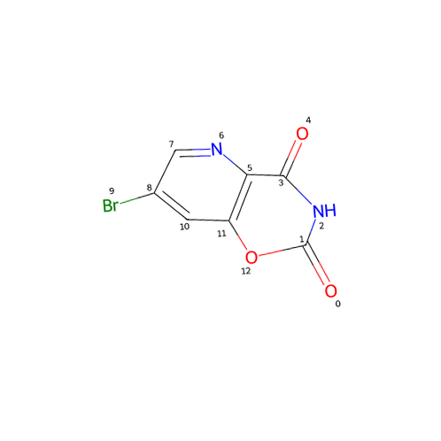 O=c1[nH]c(=O)c2ncc(Br)cc2o1